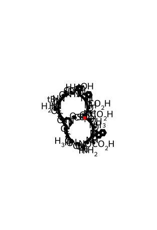 C[C@H]1CSCC(=O)N2CCN3CCN(CC2)C(=O)CSC[C@H](NC(=O)[C@@H](C)NC(=O)[C@H](Cc2cccc4ccccc24)NC(=O)[C@H](CCC(=O)O)NC(=O)[C@H](CC(N)=O)NC(=O)[C@@H](C)NC1=O)C(=O)N[C@@H](CCC(=O)O)C(=O)N[C@@H](CC(=O)O)C(=O)N[C@@H](Cc1ccccc1)C(=O)N[C@@H](Cc1ccc(O)cc1)C(=O)NC(CC(=O)O)C(=O)N[C@@H](C(C)(C)C)C(=O)N[C@H](C(N)=O)CSCC3=O